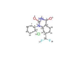 O=c1[nH]c(=O)n(-c2ccccc2Cl)c2cc(C(F)F)ccc12